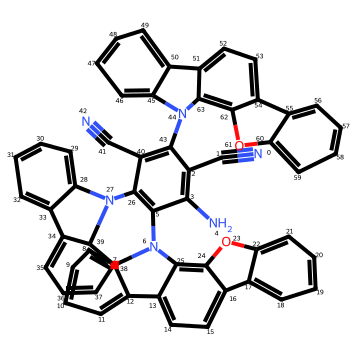 N#Cc1c(N)c(-n2c3ccccc3c3ccc4c5ccccc5oc4c32)c(-n2c3ccccc3c3ccccc32)c(C#N)c1-n1c2ccccc2c2ccc3c4ccccc4oc3c21